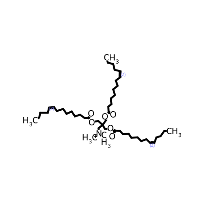 CCCC/C=C\CCCCCCCC(=O)OCC(COC(=O)CCCCCCC/C=C\CCCC)(COC(=O)CCCCCCC/C=C\CCCC)CN(C)C